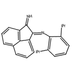 CC(C)c1cccc(C(C)C)c1/N=C1/C(=N)c2cccc3cccc1c23